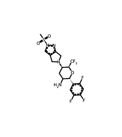 CS(=O)(=O)n1cc2c(n1)CN([C@@H]1CC(N)[C@@H](c3cc(F)c(F)cc3F)O[C@@H]1C(F)(F)F)C2